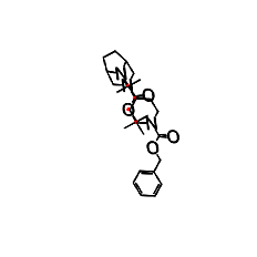 CC(C)(C)OC(=O)N1CC2CCC(C1)N2C(C)(C)C1CCN(C(=O)OCc2ccccc2)CC1